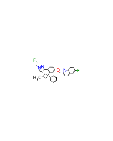 CC1CC(c2ccccc2)(c2cc(OCc3ccc4cc(F)ccc4n3)ccc2-c2ccn(CCF)n2)C1